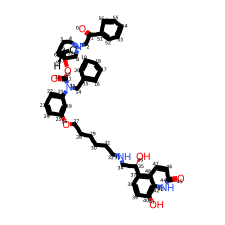 O=C(C[N+]12CCC(CC1)[C@@H](OC(=O)N(Cc1ccccc1)c1cccc(OCCCCCCNC[C@H](O)c3ccc(O)c4[nH]c(=O)ccc34)c1)C2)c1ccccc1